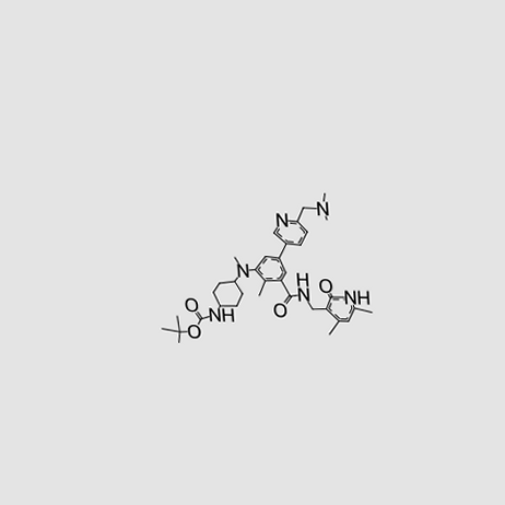 Cc1cc(C)c(CNC(=O)c2cc(-c3ccc(CN(C)C)nc3)cc(N(C)C3CCC(NC(=O)OC(C)(C)C)CC3)c2C)c(=O)[nH]1